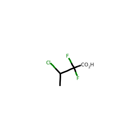 CC(Cl)C(F)(F)C(=O)O